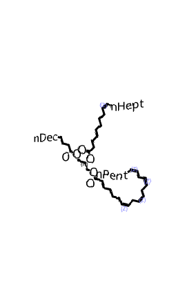 CCCCC/C=C\C/C=C\C/C=C\C/C=C\CCCCCC(=O)OC[C@@H](COC(=O)CCCCCCCCCCCCC)OC(=O)CCCCCCC/C=C\CCCCCCC